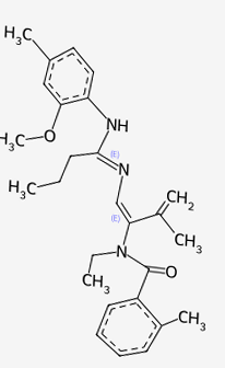 C=C(C)/C(=C\N=C(/CCC)Nc1ccc(C)cc1OC)N(CC)C(=O)c1ccccc1C